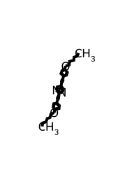 CCCCCCOc1ccc(C#Cc2cnc(C#Cc3ccc(OCCCCCC)cc3)nc2)cc1